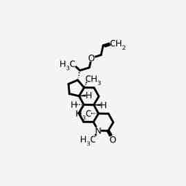 C=CCOCC(C)[C@H]1CC[C@H]2[C@@H]3CCC4N(C)C(=O)CC[C@]4(C)[C@H]3CC[C@]12C